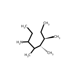 CCC(N)C(C)[C@@H](C)[C@H](C)CC